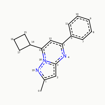 Cc1cc2nc(-c3ccccc3)cc(C3CCC3)n2n1